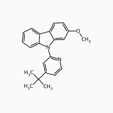 COc1ccc2c3ccccc3n(-c3cc(C(C)(C)C)ccn3)c2c1